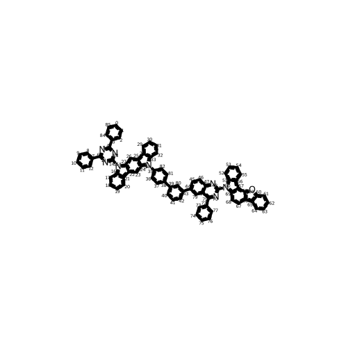 c1ccc(-c2nc(-c3ccccc3)nc(-n3c4ccccc4c4cc5c(cc43)c3ccccc3n5-c3ccc(-c4cccc(-c5ccc6nc(-n7c8ccccc8c8c9oc%10ccccc%10c9ccc87)nc(-c7ccccc7)c6c5)c4)cc3)n2)cc1